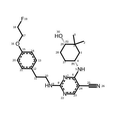 CC1(C)C[C@H](Nc2nc(NCCc3ccc(OCCF)cc3)ncc2C#N)CC[C@@H]1O